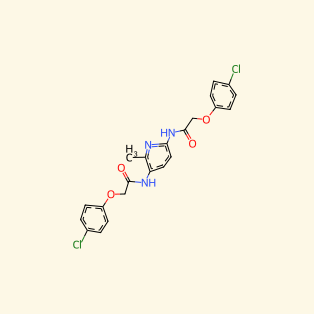 Cc1nc(NC(=O)COc2ccc(Cl)cc2)ccc1NC(=O)COc1ccc(Cl)cc1